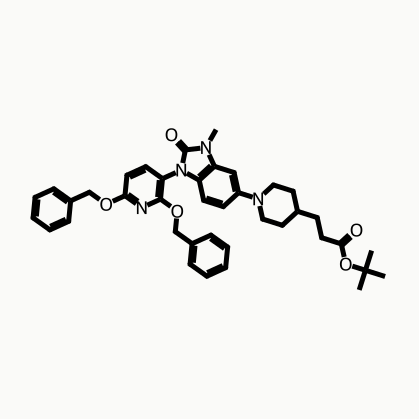 Cn1c(=O)n(-c2ccc(OCc3ccccc3)nc2OCc2ccccc2)c2ccc(N3CCC(CCC(=O)OC(C)(C)C)CC3)cc21